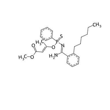 CCCCCCc1ccccc1C(N)=NP(=S)(OC(C)=CC(=O)OC)c1ccccc1